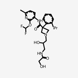 Cc1ccc(NC(=O)C2(c3ccccc3C(C)C)CN(CC(O)CNC(=O)CO)C2)c(OC(F)F)n1